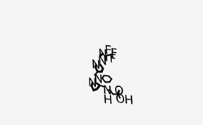 O=C(O)CCNCc1cccnc1N(Cc1ccc(-n2cnc(C(F)(F)F)c2)nc1)C1CCCCC1